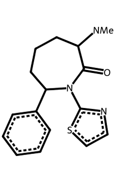 CNC1CCCC(c2ccccc2)N(c2nccs2)C1=O